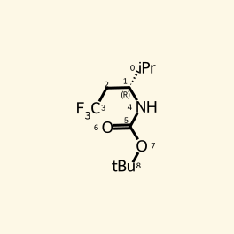 CC(C)[C@@H](CC(F)(F)F)NC(=O)OC(C)(C)C